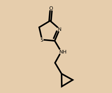 O=C1CSC(NCC2CC2)=N1